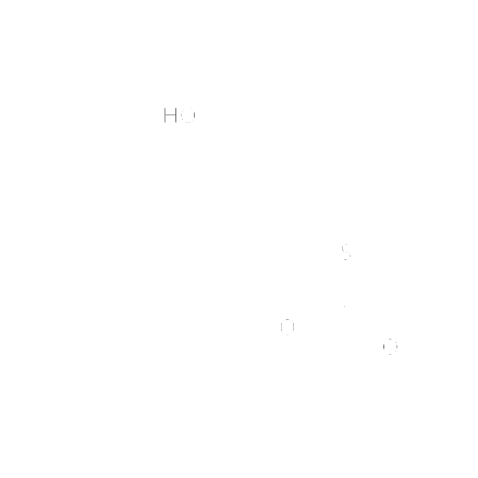 Cc1cccc2c(O)cc3sc(=O)oc3c12